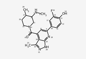 CNC1CN(C(=O)c2cc(-c3ccc(O)c(F)c3)nc3[nH]nc(C)c23)CCC1C